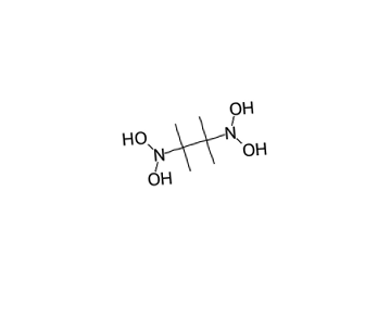 CC(C)(N(O)O)C(C)(C)N(O)O